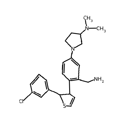 CN(C)C1CCN(c2ccc(C3C=CSC3c3cccc(Cl)c3)c(CN)c2)C1